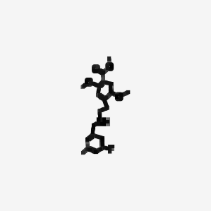 COC(=O)c1cc(OC)c(CCNCc2cc(C)cc(F)c2)cc1OC